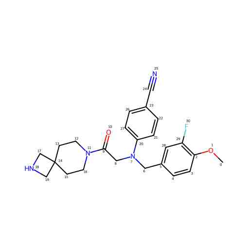 COc1ccc(CN(CC(=O)N2CCC3(CC2)CNC3)c2ccc(C#N)cc2)cc1F